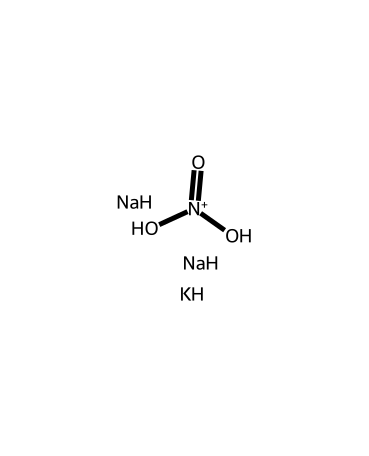 O=[N+](O)O.[KH].[NaH].[NaH]